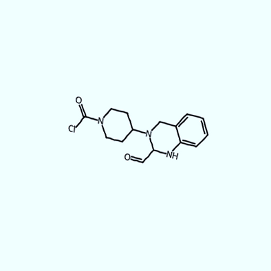 O=CC1Nc2ccccc2CN1C1CCN(C(=O)Cl)CC1